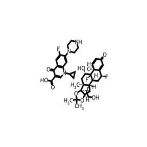 CC1(C)O[C@@H]2C[C@H]3[C@@H]4C[C@H](F)C5=CC(=O)C=C[C@]5(C)[C@@]4(F)[C@@H](O)C[C@]3(C)[C@]2(C(=O)CO)O1.O=C(O)c1cn(C2CC2)c2cc(N3CCNCC3)c(F)cc2c1=O